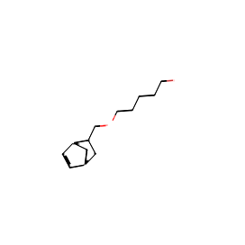 BrCCCCCOCC1CC2C=CC1C2